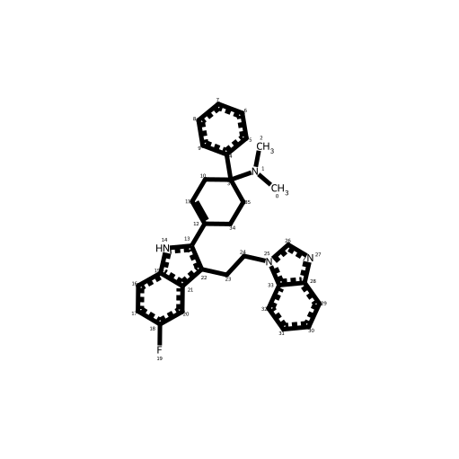 CN(C)C1(c2ccccc2)CC=C(c2[nH]c3ccc(F)cc3c2CCn2cnc3ccccc32)CC1